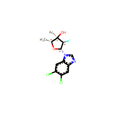 CC(=O)[C@@]1(O)[C@@H](C)O[C@@H](n2cnc3cc(Cl)c(Cl)cc32)[C@@H]1F